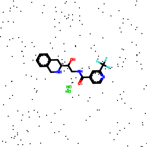 Cl.Cl.O=C(NCC(O)[C@@H]1Cc2ccccc2CN1)c1ccnc(C(F)(F)F)c1